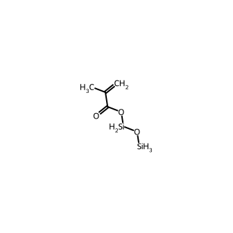 C=C(C)C(=O)O[SiH2]O[SiH3]